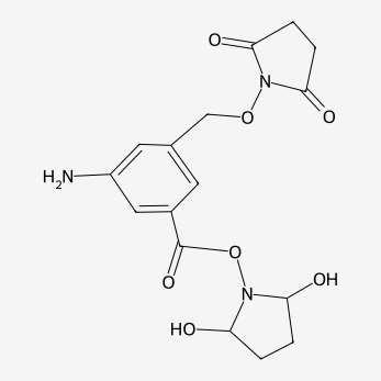 Nc1cc(CON2C(=O)CCC2=O)cc(C(=O)ON2C(O)CCC2O)c1